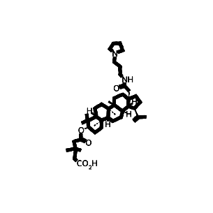 C=C(C)[C@@H]1CC[C@]2(CC(=O)NCCCN3CCCC3)CC[C@]3(C)[C@H](CC[C@@H]4[C@@]5(C)CC[C@H](OC(=O)CC(C)(C)CC(=O)O)C(C)(C)[C@@H]5CC[C@]43C)[C@@H]12